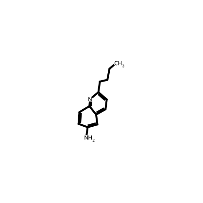 CCCCc1ccc2cc(N)ccc2n1